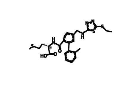 CCSc1nnc(NCc2ccc(C(=O)N[C@@H](CCSC)C(=O)O)c(-c3ccccc3C)c2)s1